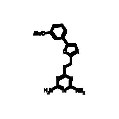 COc1cccc(-c2cnc(CSc3nc(N)nc(N)n3)o2)c1